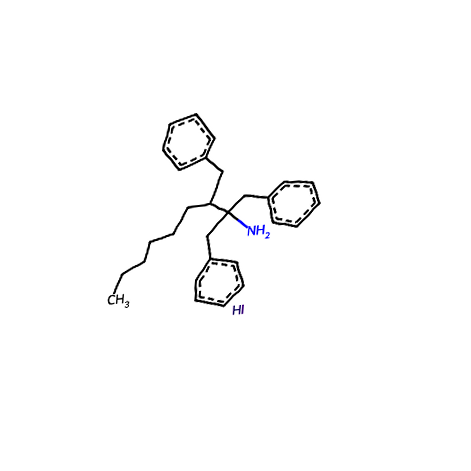 CCCCCCC(Cc1ccccc1)C(N)(Cc1ccccc1)Cc1ccccc1.I